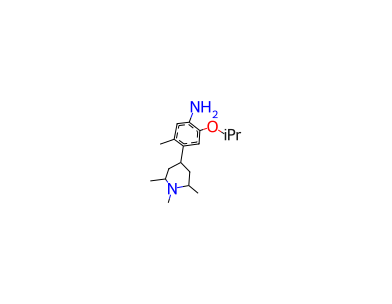 Cc1cc(N)c(OC(C)C)cc1C1CC(C)N(C)C(C)C1